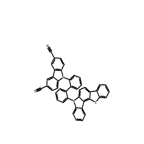 N#Cc1ccc2c(c1)c1cc(C#N)ccc1n2-c1ccccc1-c1ccccc1-n1c2ccccc2c2c3sc4ccccc4c3ccc21